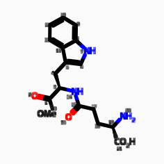 COC(=O)[C@@H](Cc1c[nH]c2ccccc12)NC(=O)CC[C@@H](N)C(=O)O